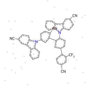 N#Cc1ccc(-c2ccc(-n3c4ccccc4c4cc(C#N)ccc43)c(-c3cc(-n4c5ccccc5c5cc(C#N)ccc54)ccc3C#N)c2)c(C(F)(F)F)c1